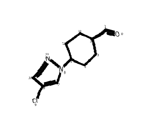 O=CC1CCC(n2cc(Cl)cn2)CC1